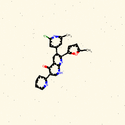 Cc1cc(-c2cc3c(=O)c(-c4ccccn4)c[nH]c3nc2-c2ccc(C)o2)cc(Cl)n1